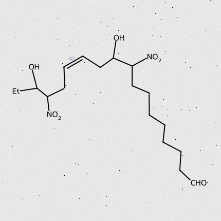 CCC(O)C(C/C=C\CC(O)C(CCCCCCC[C]=O)[N+](=O)[O-])[N+](=O)[O-]